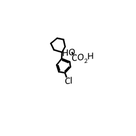 Clc1ccc(C2CCCCC2)cc1.O=C(O)O